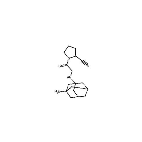 N#CC1CCCN1C(=O)CNC12CC3CC(CC(N)(C3)C1)C2